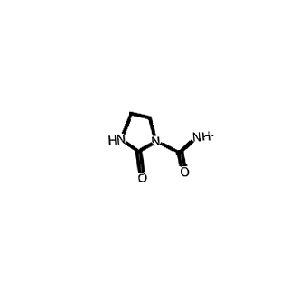 [NH]C(=O)N1CCNC1=O